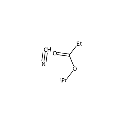 C#N.CCC(=O)OC(C)C